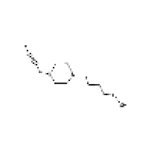 CC#CCN1CCN(CCCCOS)CC1